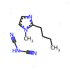 CCCCc1nccn1C.N#CNC#N